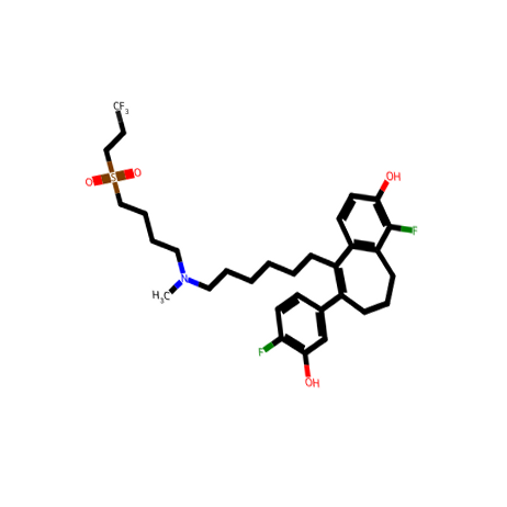 CN(CCCCCCC1=C(c2ccc(F)c(O)c2)CCCc2c1ccc(O)c2F)CCCCS(=O)(=O)CCC(F)(F)F